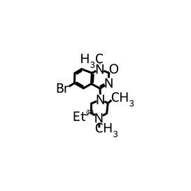 CC[C@@H]1CN(c2nc(=O)n(C)c3ccc(Br)cc23)C(C)CN1C